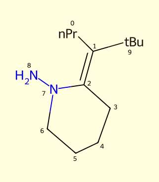 CCC/C(=C1/CCCCN1N)C(C)(C)C